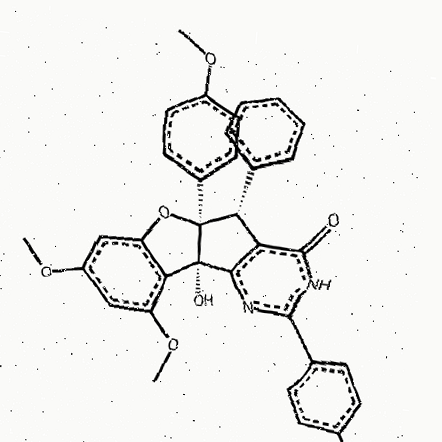 COc1ccc([C@@]23Oc4cc(OC)cc(OC)c4[C@]2(O)c2nc(-c4ccc(Br)cc4)[nH]c(=O)c2[C@H]3c2ccccc2)cc1